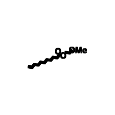 C=CCCCCCCCCC(=O)OCCOC